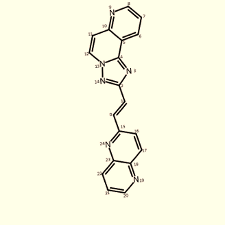 C(=C\c1nc2c3cccnc3ccn2n1)/c1ccc2ncccc2n1